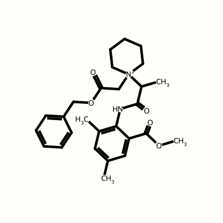 COC(=O)c1cc(C)cc(C)c1NC(=O)C(C)[N+]1(CC(=O)OCc2ccccc2)CCCCC1